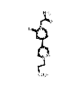 NC(=O)Cn1ccc(-c2cc[n+](CCC(=O)O)nc2)cc1=O